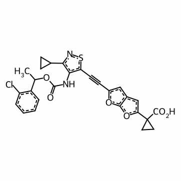 CC(OC(=O)Nc1c(C2CC2)nsc1C#Cc1cc2cc(C3(C(=O)O)CC3)oc2o1)c1ccccc1Cl